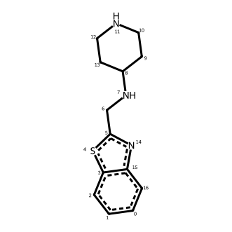 c1ccc2sc(CNC3CCNCC3)nc2c1